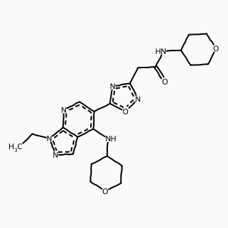 CCn1ncc2c(NC3CCOCC3)c(-c3nc(CC(=O)NC4CCOCC4)no3)cnc21